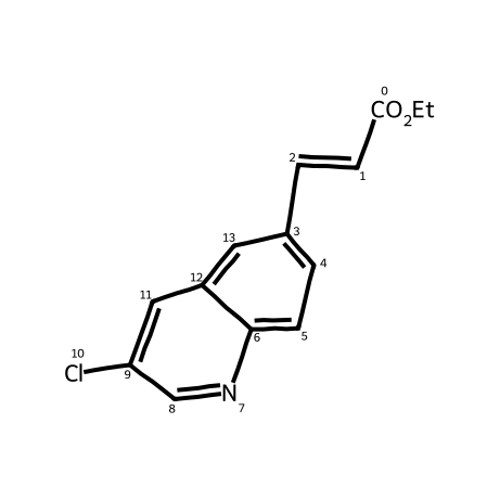 CCOC(=O)/C=C/c1ccc2ncc(Cl)cc2c1